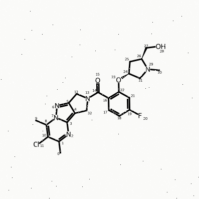 Cc1nc2c3c(nn2c(C)c1Cl)CN(C(=O)c1ccc(F)cc1O[C@H]1C[C@@H](CO)N(C)C1)C3